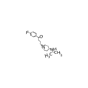 CC(C)NC1CCN(CCCC(=O)c2ccc(F)cc2)CC1